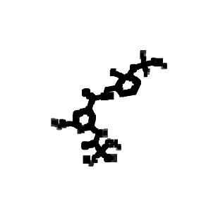 Cc1cc(C(=O)NCc2cccc(OC(C)(F)F)c2F)cc(NC(=O)C(C)(C)O)n1